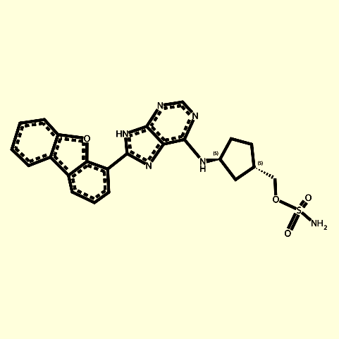 NS(=O)(=O)OC[C@H]1CC[C@H](Nc2ncnc3[nH]c(-c4cccc5c4oc4ccccc45)nc23)C1